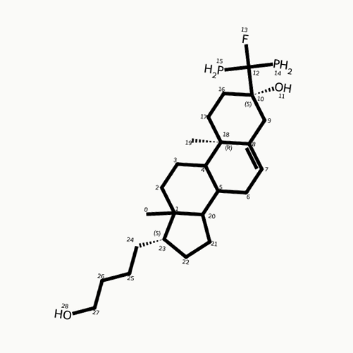 CC12CCC3C(CC=C4C[C@](O)(C(F)(P)P)CC[C@@]43C)C1CC[C@@H]2CCCCO